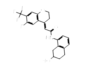 O=C(/C=C1\CCOc2cc(C(F)(F)F)c(F)cc21)Nc1cccc2c1CC(O)CC2